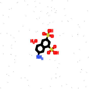 Nc1ccc2cc(S(=O)(=O)O)cc(S(=O)(=O)O)c2c1.O